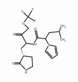 CC(C)CC(C(=O)NC(C[C@@H]1CCNC1=O)C(=O)COC(F)(F)F)n1cccc1